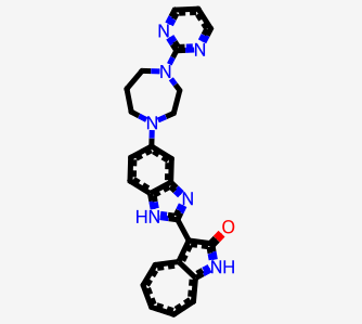 O=c1[nH]c2cccccc-2c1-c1nc2cc(N3CCCN(c4ncccn4)CC3)ccc2[nH]1